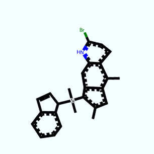 Cc1cc2c(C)c3ccc(Br)[nH]c3cc2c1[Si](C)(C)C1C=Cc2ccccc21